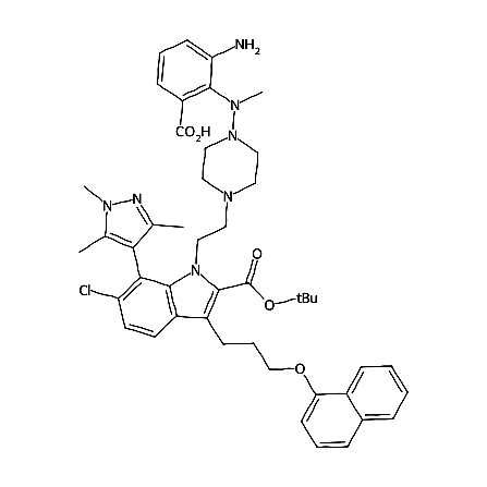 Cc1nn(C)c(C)c1-c1c(Cl)ccc2c(CCCOc3cccc4ccccc34)c(C(=O)OC(C)(C)C)n(CCN3CCN(N(C)c4c(N)cccc4C(=O)O)CC3)c12